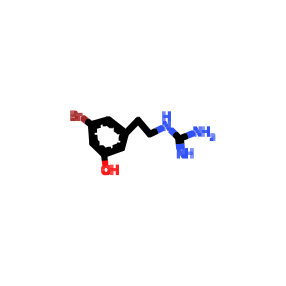 N=C(N)NCCc1cc(O)cc(Br)c1